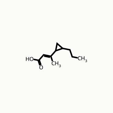 CCCC1CC1/C(C)=C/C(=O)O